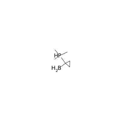 BC1([PH](C)(C)C)CC1